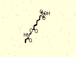 C=CC(=O)NCOC(=O)C=CCCCS(=O)(=O)O